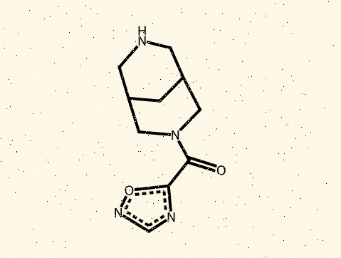 O=C(c1ncno1)N1CC2CNCC(C2)C1